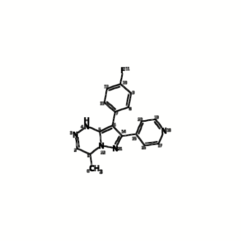 CC1C=NNc2c(-c3ccc(F)cc3)c(-c3ccncc3)nn21